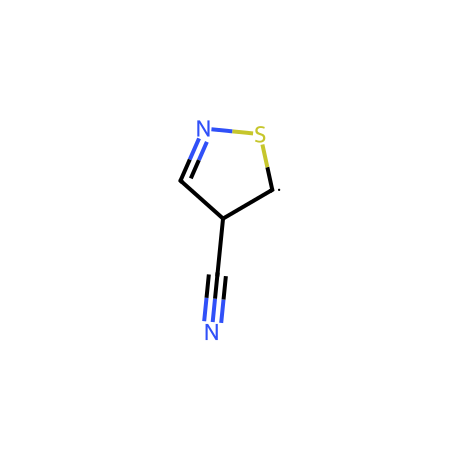 N#CC1[CH]SN=C1